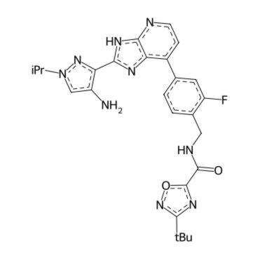 CC(C)n1cc(N)c(-c2nc3c(-c4ccc(CNC(=O)c5nc(C(C)(C)C)no5)c(F)c4)ccnc3[nH]2)n1